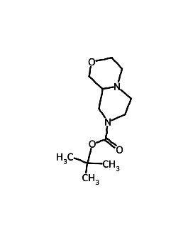 CC(C)(C)OC(=O)N1CCN2CCOCC2C1